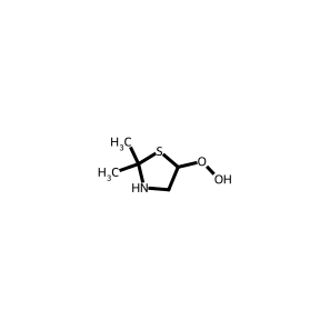 CC1(C)NCC(OO)S1